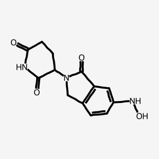 O=C1CCC(N2Cc3ccc(NO)cc3C2=O)C(=O)N1